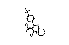 C[S+]([O-])c1c(-c2ccc(C(C)(C)C)cc2)nc2n(c1=O)CCCC2